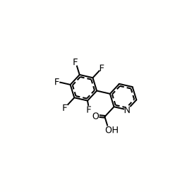 O=C(O)c1ncccc1-c1c(F)c(F)c(F)c(F)c1F